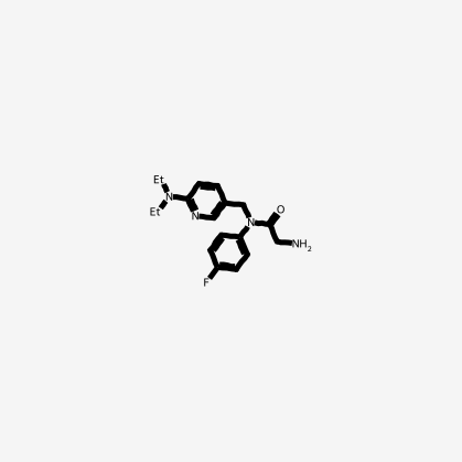 CCN(CC)c1ccc(CN(C(=O)CN)c2ccc(F)cc2)cn1